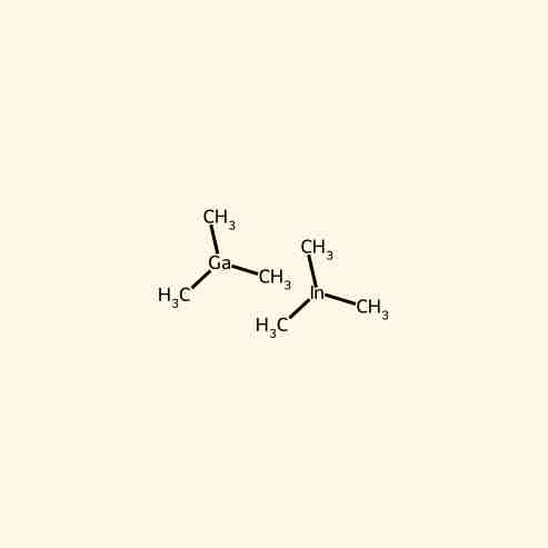 [CH3][Ga]([CH3])[CH3].[CH3][In]([CH3])[CH3]